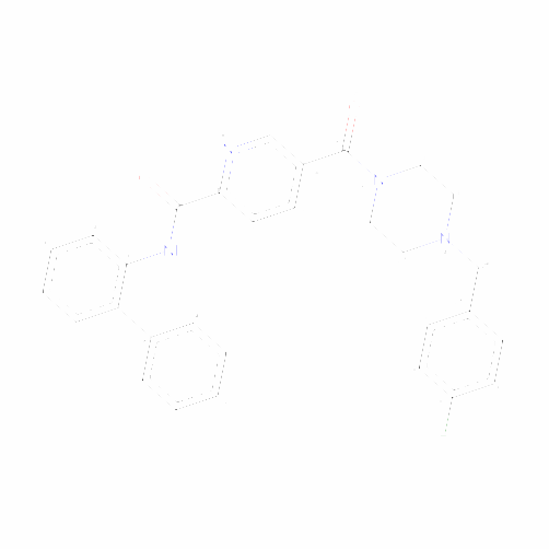 O=C(Nc1ccccc1-c1ccccc1)c1ccc(C(=O)N2CCN(Cc3ccc(F)cc3)CC2)cn1